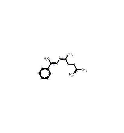 C=C(C)CC/C(C)=N\C=C(/C)c1ccccc1